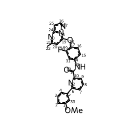 COc1cccc(-c2cccc(C(=O)Nc3ccc(Oc4cc(C)nc5ccnn45)c(F)c3)n2)c1